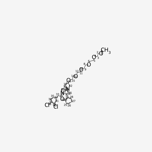 COCCOCCOCCOCCOCCOC1CCN(CC(c2ccccc2)N(C)C(=O)Cc2ccc(Cl)c(Cl)c2)C1